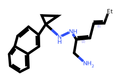 CC/C=C/C=C(/CN)NNC1(c2ccc3ccccc3c2)CC1